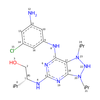 CC(C)[C@H](CO)Nc1nc(Nc2cc(N)cc(Cl)c2)c2c(n1)N(C(C)C)NN2C(C)C